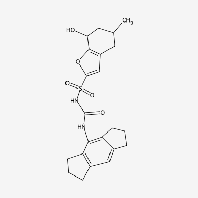 CC1Cc2cc(S(=O)(=O)NC(=O)Nc3c4c(cc5c3CCC5)CCC4)oc2C(O)C1